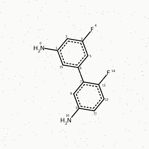 Nc1cc(F)cc(-c2cc(N)ccc2F)c1